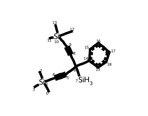 C[Si](C)(C)C#CC([SiH3])(C#C[Si](C)(C)C)c1ccccc1